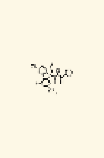 C=CC[C@@](NC(=O)NC1CCCC1)(c1cc(F)cc(C(F)(F)F)c1)c1ccc(Cl)cn1